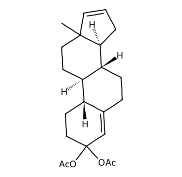 CC(=O)OC1(OC(C)=O)C=C2CC[C@@H]3[C@H](CCC4(C)C=CC[C@@H]34)[C@H]2CC1